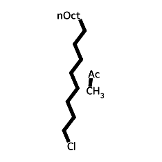 CC(C)=O.CCCCCCCCCCCCCCCCCl